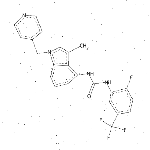 Cc1cn(Cc2ccncc2)c2cccc(NC(=O)Nc3cc(C(F)(F)F)ccc3F)c12